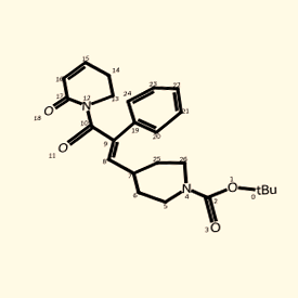 CC(C)(C)OC(=O)N1CCC(C=C(C(=O)N2CCC=CC2=O)c2ccccc2)CC1